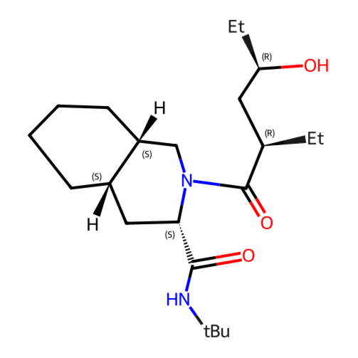 CC[C@@H](O)C[C@@H](CC)C(=O)N1C[C@H]2CCCC[C@H]2C[C@H]1C(=O)NC(C)(C)C